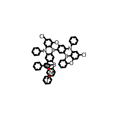 Clc1cc2c3c(c1)N(c1ccccc1)c1cc4c(cc1B3c1ccccc1O2)B1c2cc3c(cc2N(c2ccccc2)c2cc(Cl)cc(c21)O4)N(c1ccccc1)c1cc(Cl)cc2c1B3c1ccccc1N2c1ccccc1